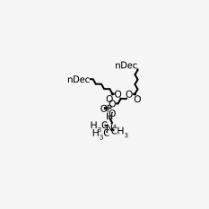 CCCCCCCCCCCCCCCC(=O)OCC(CO[PH](=O)OCC[N+](C)(C)C)OC(=O)CCCCCCCCCCCCCCC